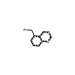 CC(C)Cc1cccc2ncncc12